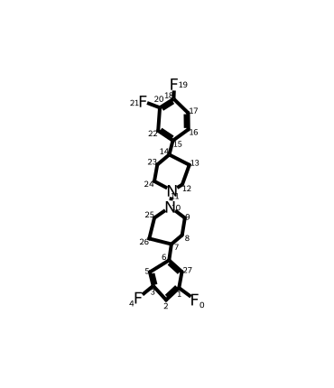 Fc1cc(F)cc(C2CCN(N3CCC(c4ccc(F)c(F)c4)CC3)CC2)c1